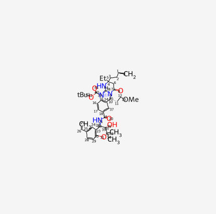 C=CCCC1(CC)CC(=O)N([C@H](CCOC)c2cccc(C(=O)N[C@@H]3c4cc(C=C)ccc4OC(C)(C)[C@H]3O)c2)/C(=N/C(=O)OC(C)(C)C)N1